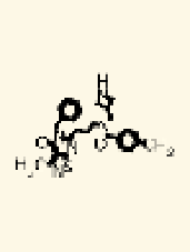 Cc1ccc(C(=O)N(CCCc2nc3snc(C)c3c(=O)n2Cc2ccccc2)CC2CNC2)cc1